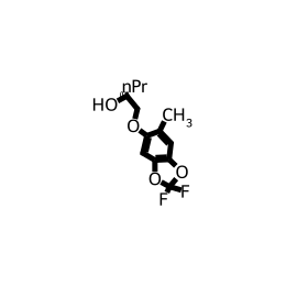 CCC[C@@H](O)COc1cc2c(cc1C)OC(F)(F)O2